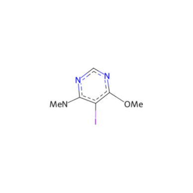 CNc1ncnc(OC)c1I